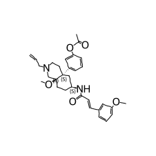 C=CCN1CC[C@@]2(c3cccc(OC(C)=O)c3)C[C@@H](NC(=O)C=Cc3cccc(OC)c3)CC[C@]2(OC)C1